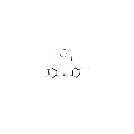 Cc1ccc(NC(=O)Nc2ccc(Cl)c(Cl)c2)cc1OCCN1CCOCC1